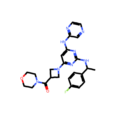 CC(Nc1nc(Nc2cnccn2)cc(N2CC(C(=O)N3CCOCC3)C2)n1)c1ccc(F)cc1